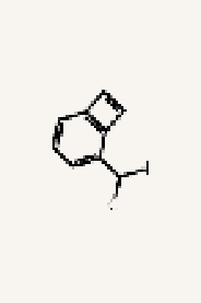 ClC(I)c1cccc2c1C=C2